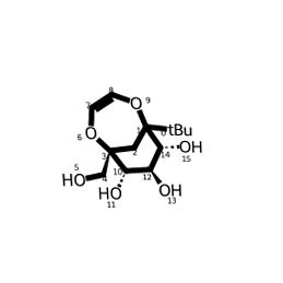 CC(C)(C)C12C[C@@](CO)(OC=CO1)[C@@H](O)[C@H](O)[C@H]2O